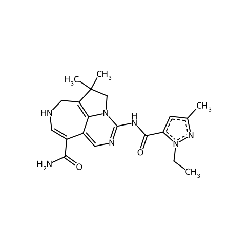 CCn1nc(C)cc1C(=O)NC1=NC=C2C(C(N)=O)=CNCC3=C2N1CC3(C)C